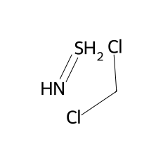 ClCCl.N=[SH2]